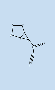 N#CC(=O)C1C2CCCC21